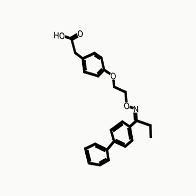 CCC(=NOCCOc1ccc(CC(=O)O)cc1)c1ccc(-c2ccccc2)cc1